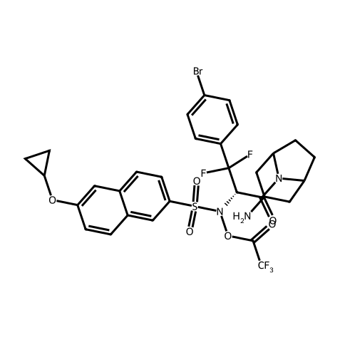 NC1CC2CCC(C1)N2C(=O)[C@H](N(OC(=O)C(F)(F)F)S(=O)(=O)c1ccc2cc(OC3CC3)ccc2c1)C(F)(F)c1ccc(Br)cc1